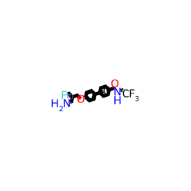 NC/C(=C\F)COc1ccc(C23CCC(C(=O)NCC(F)(F)F)(CC2)CC3)cc1